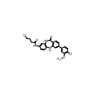 COc1cc(-c2ccc3c(c2)Nc2ccc(NC(=O)CCCCl)cc2NC3=O)ccc1Cl